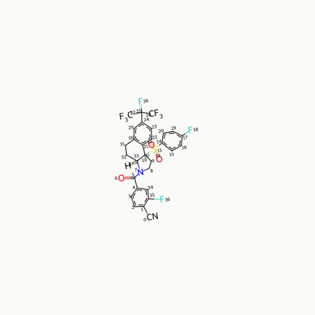 N#Cc1ccc(C(=O)N2CC[C@]3(S(=O)(=O)c4ccc(F)cc4)c4ccc(C(F)(C(F)(F)F)C(F)(F)F)cc4CC[C@H]23)cc1F